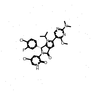 COc1nc(N(C)C)ncc1-c1cc2c(n1C(C)C)[C@@H](c1ccc(Cl)c(F)c1)N(c1cc(Cl)c[nH]c1=O)C2=O